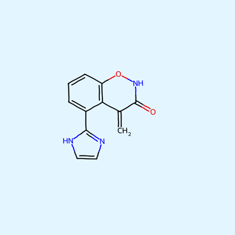 C=C1C(=O)NOc2cccc(-c3ncc[nH]3)c21